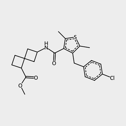 COC(=O)C1CCC12CC(NC(=O)c1c(C)sc(C)c1Cc1ccc(Cl)cc1)C2